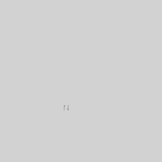 C(#Cc1ccccc1)[N]C#Cc1ccccc1